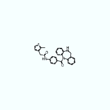 Cc1sccc1CC(=O)Nc1ccc(C(=O)N2c3ccccc3CNc3ccccc32)cc1